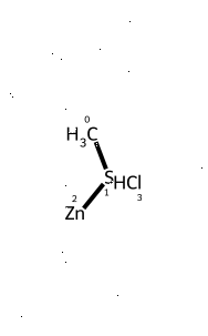 C[S][Zn].Cl